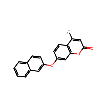 O=c1cc(C(F)(F)F)c2ccc(Oc3ccc4ccccc4c3)cc2o1